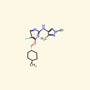 Cc1nn(C(C)C)cc1Nc1ncc(F)c(OC[C@H]2CC[C@H](C)CC2)n1